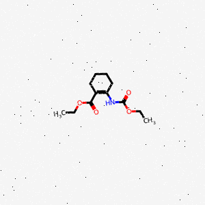 CCOC(=O)NC1=C(C(=O)OCC)CCCC1